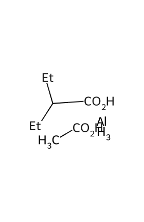 CC(=O)O.CCC(CC)C(=O)O.[AlH3]